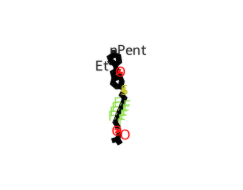 C=C(C)C(=O)OCCC(F)(F)C(F)(F)C(F)(F)C(F)(F)CCSc1ccc2cc(-c3ccc(CCCCC)cc3CC)oc2c1